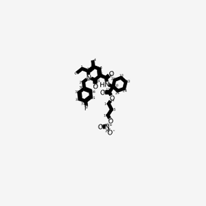 CCc1c(C)cc(C(=O)NC2(C(=O)OCCCO[N+](=O)[O-])CCCCC2)c(=O)n1Cc1ccc(F)cc1